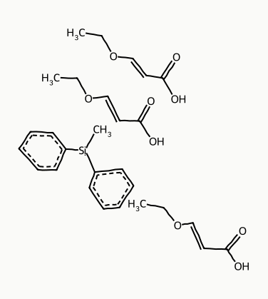 CCOC=CC(=O)O.CCOC=CC(=O)O.CCOC=CC(=O)O.C[Si](c1ccccc1)c1ccccc1